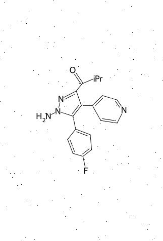 CC(C)C(=O)c1nn(N)c(-c2ccc(F)cc2)c1-c1ccncc1